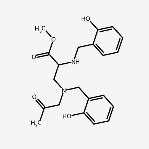 COC(=O)C(CN(CC(C)=O)Cc1ccccc1O)NCc1ccccc1O